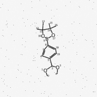 COC(OC)c1ccc(B2OC(C)(C)C(C)(C)O2)cc1